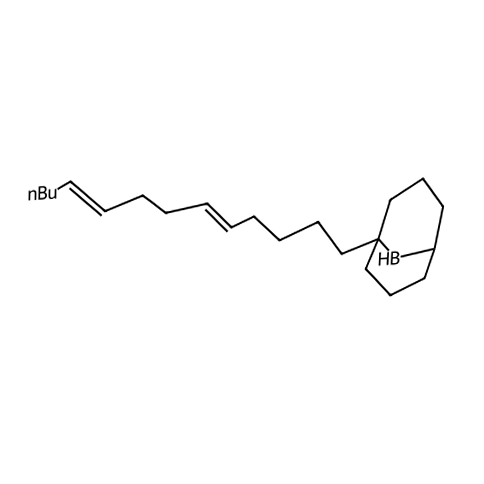 CCCC/C=C/CC/C=C/CCCCC12BC(CCC1)CCC2